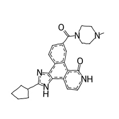 CN1CCN(C(=O)c2ccc3c(c2)c2c(=O)[nH]ccc2c2[nH]c(C4CCCC4)nc32)CC1